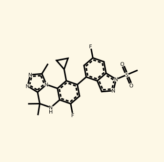 Cc1nnc2n1-c1c(c(F)cc(-c3cc(F)cc4c3cnn4S(C)(=O)=O)c1C1CC1)NC2(C)C